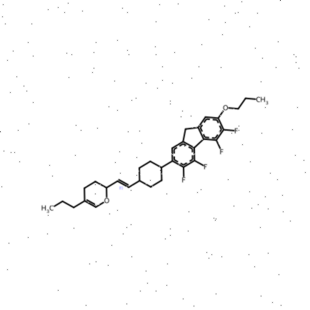 CCCOc1cc2c(c(F)c1F)-c1c(cc(C3CCC(/C=C/C4CCC(CCC)=CO4)CC3)c(F)c1F)C2